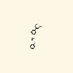 O=C(C1C=C(c2cc(F)c(OC3CN(Cc4ccc(C(F)(F)F)cc4)C3)c(F)c2)CCN1)C(F)(F)F